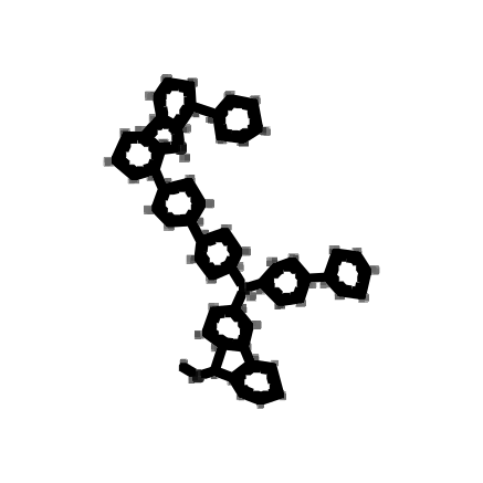 COC1c2ccccc2-c2cc(N(c3ccc(-c4ccccc4)cc3)c3ccc(-c4ccc(-c5cccc6c5oc5c(-c7ccccc7)cccc56)cc4)cc3)ccc21